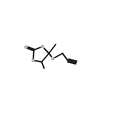 C#CCOC1(C)OC(=O)OC1C